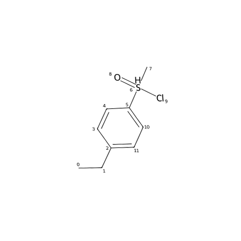 CCc1ccc([SH](C)(=O)Cl)cc1